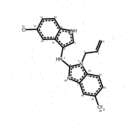 C=CCn1c(Nc2c[nH]c3ccc(Cl)cc23)nc2cc(C(F)(F)F)ccc21